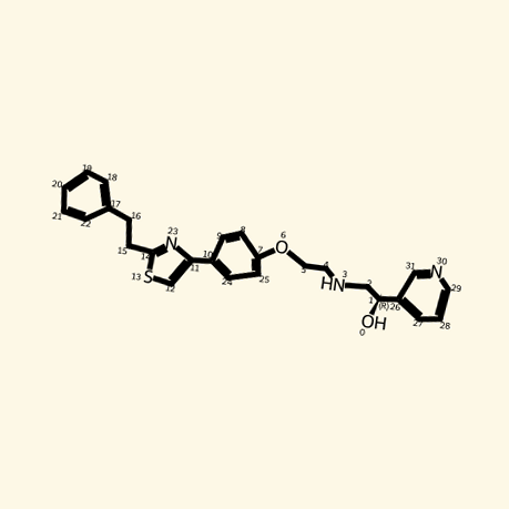 O[C@@H](CNCCOc1ccc(-c2csc(CCc3ccccc3)n2)cc1)c1cccnc1